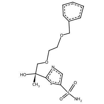 C[C@@](O)(COCCOCc1ccccc1)c1ncc(S(N)(=O)=O)s1